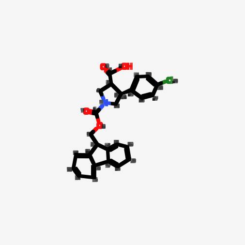 O=C(O)C1CN(C(=O)OCC2c3ccccc3-c3ccccc32)C[C@@H]1c1ccc(Cl)cc1